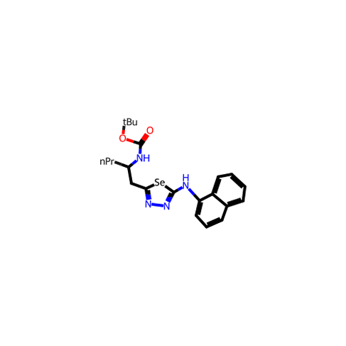 CCCC(Cc1nnc(Nc2cccc3ccccc23)[se]1)NC(=O)OC(C)(C)C